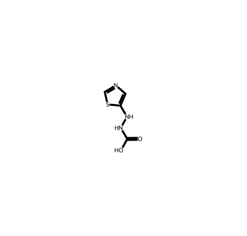 O=C(O)NNc1cncs1